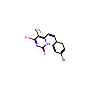 O=c1nc(O)c([N+](=O)[O-])c(/C=C\C2C=CC(Br)=CC2)[nH]1